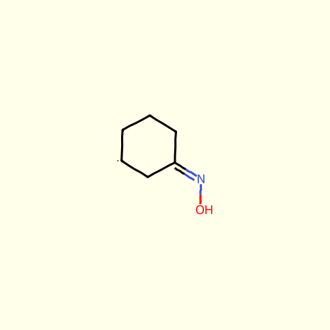 ON=C1C[CH]CCC1